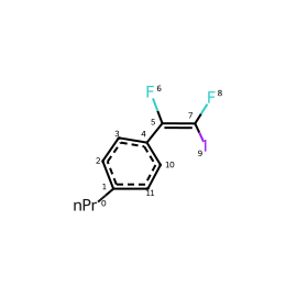 CCCc1ccc(C(F)=C(F)I)cc1